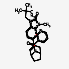 Cn1c(=O)n(CC(C)(C)C)c2ccc(C3=CC4CCC(C3)N4C(=O)c3cccnc3)nc21